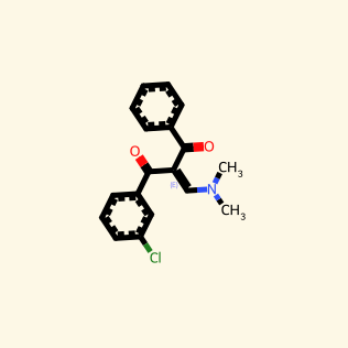 CN(C)/C=C(\C(=O)c1ccccc1)C(=O)c1cccc(Cl)c1